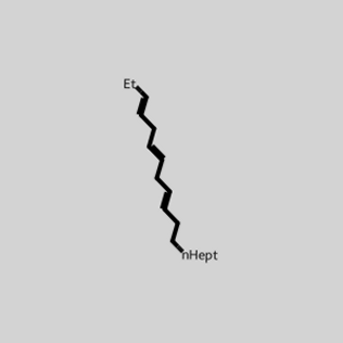 CCC=CCC=CCC=CCCCCCCCCC